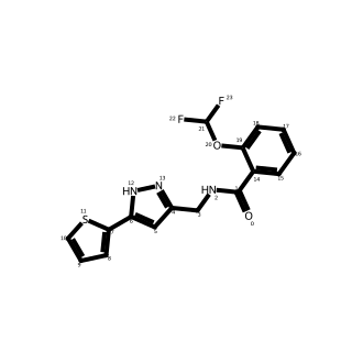 O=C(NCc1cc(-c2cccs2)[nH]n1)c1ccccc1OC(F)F